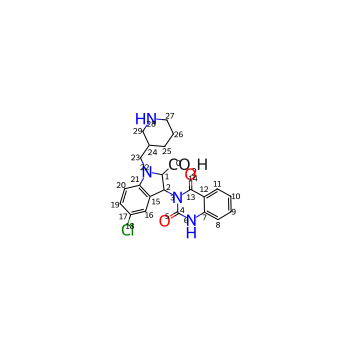 O=C(O)C1C(n2c(=O)[nH]c3ccccc3c2=O)c2cc(Cl)ccc2N1CC1CCCNC1